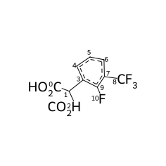 O=C(O)C(C(=O)O)c1cccc(C(F)(F)F)c1F